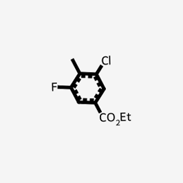 CCOC(=O)c1cc(F)c(C)c(Cl)c1